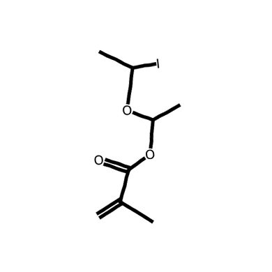 C=C(C)C(=O)OC(C)OC(C)I